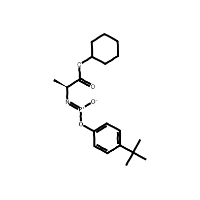 C[C@H](N=[P+]([O-])Oc1ccc(C(C)(C)C)cc1)C(=O)OC1CCCCC1